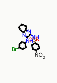 O=[N+]([O-])c1ccc(S(=O)(=O)Nc2nc3ccccc3nc2Nc2ccc(Br)cc2)cc1